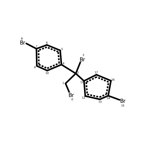 BrCC(Br)(c1ccc(Br)cc1)c1ccc(Br)cc1